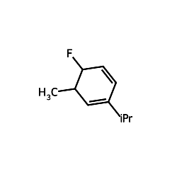 CC(C)C1=CC(C)C(F)C=C1